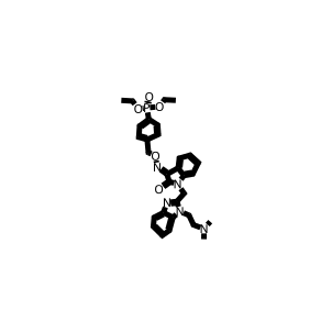 CCOP(=O)(OCC)c1ccc(CO/N=C2/C(=O)N(Cc3nc4ccccc4n3CCN(C)C)c3ccccc32)cc1